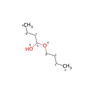 CCC[CH]OC(O)CCC